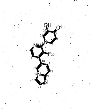 O=c1ccn(-c2nccc(-c3ccc4nccn4c3)c2F)cc1O